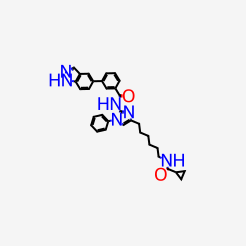 O=C(Nc1nc(CCCCCCNC(=O)C2CC2)cn1-c1ccccc1)c1cccc(-c2ccc3[nH]ncc3c2)c1